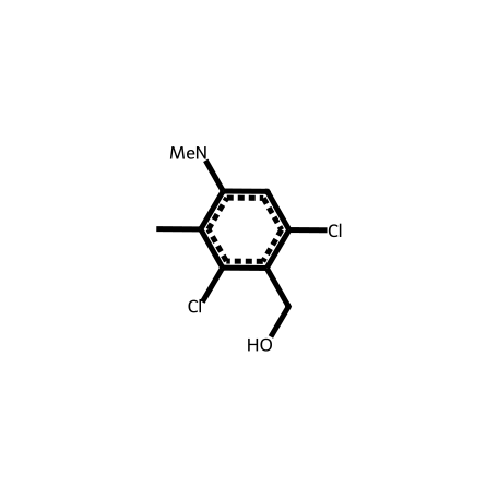 CNc1cc(Cl)c(CO)c(Cl)c1C